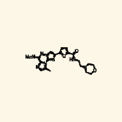 CNc1nc2cc(-c3ccc(C(=O)NCCN4CCOCC4)o3)sc2n2c(C)cnc12